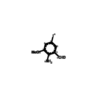 COc1cc(I)cc(C=O)c1N